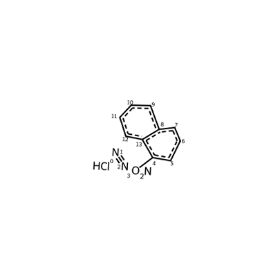 Cl.N#N.O=[N+]([O-])c1cccc2ccccc12